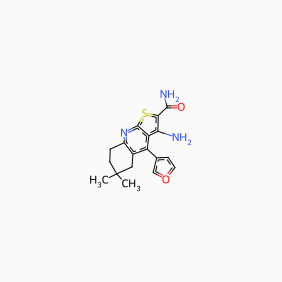 CC1(C)CCc2nc3sc(C(N)=O)c(N)c3c(-c3ccoc3)c2C1